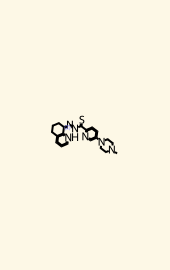 CN1CCN(c2ccc(C(=S)N/N=C3/CCCc4cccnc43)nc2)CC1